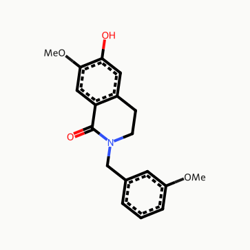 COc1cccc(CN2CCc3cc(O)c(OC)cc3C2=O)c1